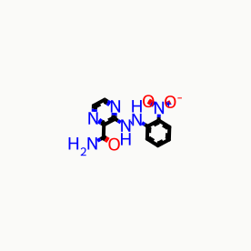 NC(=O)c1nccnc1NNc1ccccc1[N+](=O)[O-]